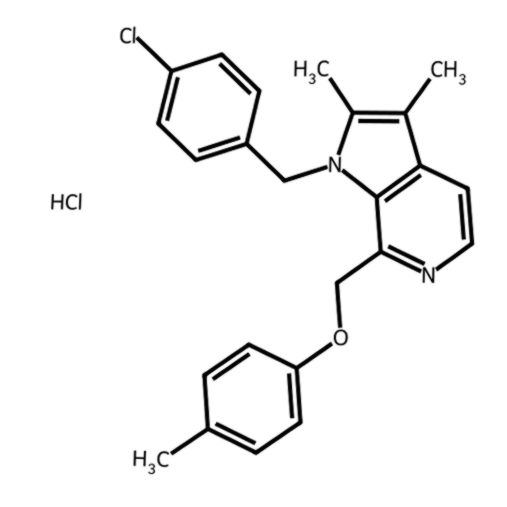 Cc1ccc(OCc2nccc3c(C)c(C)n(Cc4ccc(Cl)cc4)c23)cc1.Cl